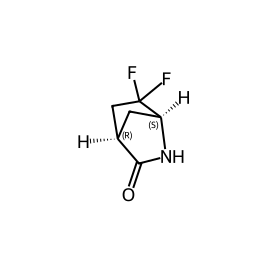 O=C1N[C@H]2C[C@@H]1CC2(F)F